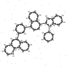 c1ccc(-n2c(-c3ccc(-c4cccc(-c5cc6cccnc6c6ccccc56)c4)c4ccccc34)nc3ccccc32)cc1